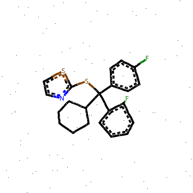 Fc1ccc(C(Sc2nccs2)(c2ccccc2F)C2CCCCC2)cc1